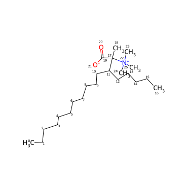 CCCCCCCCCCCC(CCCCC)C(C)(C(=O)[O-])[N+](C)(C)C